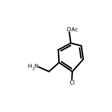 CC(=O)Oc1ccc(Cl)c(CN)c1